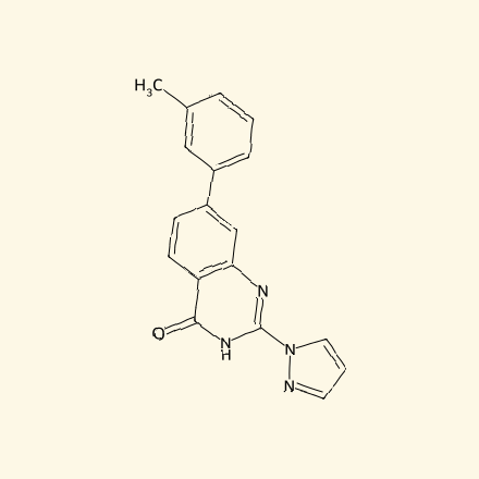 Cc1cccc(-c2ccc3c(=O)[nH]c(-n4cccn4)nc3c2)c1